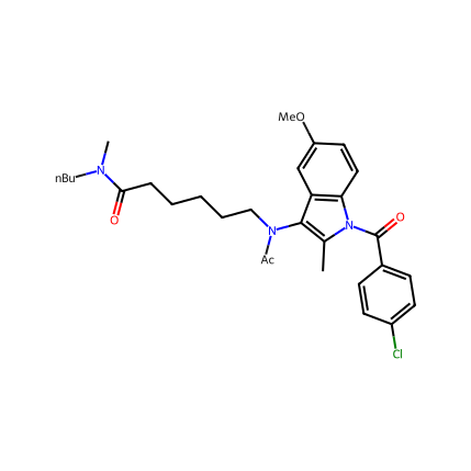 CCCCN(C)C(=O)CCCCCN(C(C)=O)c1c(C)n(C(=O)c2ccc(Cl)cc2)c2ccc(OC)cc12